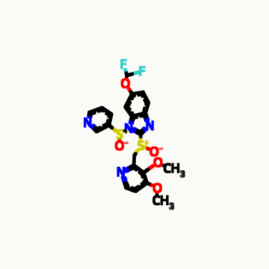 COc1ccnc(C[S+]([O-])c2nc3ccc(OC(F)F)cc3n2[S+]([O-])c2cccnc2)c1OC